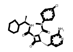 C[C@@H](NC(=O)N1C(=O)[C@@H](Cc2ccnc(N)c2)[C@H]1C(=O)N(C)c1ccc(Cl)cc1)C1CCCCC1